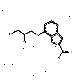 NC(=O)c1cc2cccc(OCC(O)CCl)c2o1